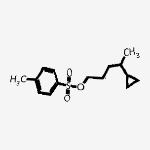 Cc1ccc(S(=O)(=O)OC[CH]CC(C)C2CC2)cc1